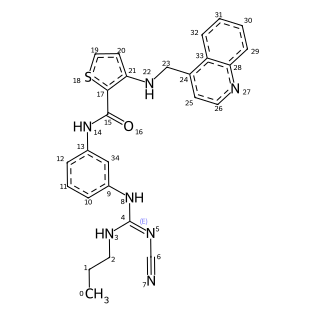 CCCN/C(=N\C#N)Nc1cccc(NC(=O)c2sccc2NCc2ccnc3ccccc23)c1